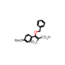 COc1ccc(C(OCc2ccccc2)=C(C(=O)O)C(=O)O)cc1